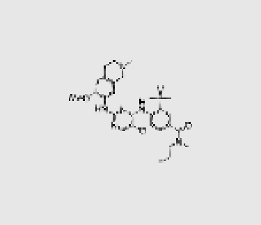 COc1cc2c(cc1Nc1ncc(Cl)c(Nc3ccc(C(=O)N(C)CCF)cc3P(C)(C)=O)n1)CN(C)CC2